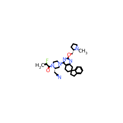 C=C(F)C(=O)N1CCN(c2nc(OC[C@@H]3CCCN3C)nc3c2CCC2(CCc4ccccc42)C3)C[C@@H]1CC#N